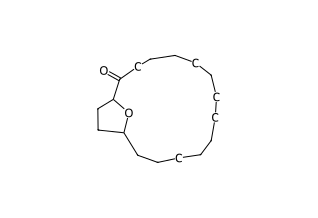 O=C1CCCCCCCCCCCCC2CCC1O2